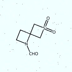 O=CN1CCC12CS(=O)(=O)C2